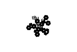 CC(C)(C)c1ccc(N2B3c4cc5sc(-c6ccccc6)c(-c6ccccc6)c5cc4-n4c5cc6c(cc5c5c7c(c(c3c54)-c3cc4c(cc32)C(C)(C)c2ccccc2-4)C(C)(C)c2ccccc2-7)C(C)(C)CCC6(C)C)cc1